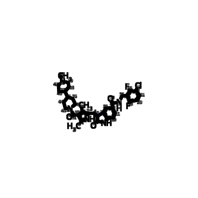 Cc1[nH]c(/C=C2\C(=O)Nc3ccc(C(=O)NCc4c(F)ccc(Cl)c4F)cc32)c(C)c1C(=O)N1CCC(C2CCN(C)CC2)CC1